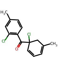 CC1=CC=CC(Cl)(C(=O)c2ccc(C)cc2Cl)C1